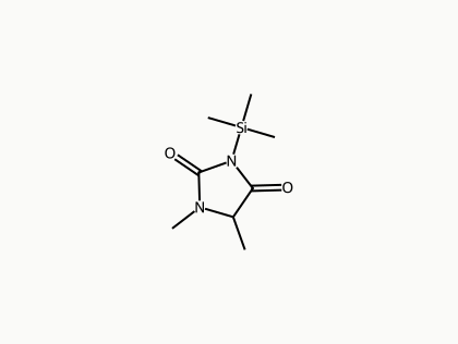 CC1C(=O)N([Si](C)(C)C)C(=O)N1C